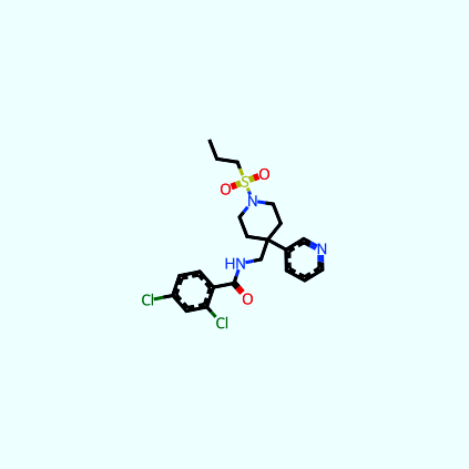 CCCS(=O)(=O)N1CCC(CNC(=O)c2ccc(Cl)cc2Cl)(c2cccnc2)CC1